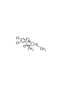 CCCOC1CC(N2CC=CC2)C(N(C)C(=O)Cc2ccc(Cl)c(Cl)c2)C1